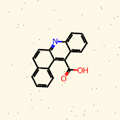 O=C(O)c1c2ccccc2nc2ccc3ccccc3c12